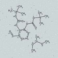 CC(C)(C)OC(=O)Oc1cccc(C=O)c1OC(=O)OC(C)(C)C.COC(C)OC